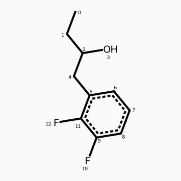 CCC(O)Cc1cccc(F)c1F